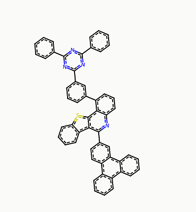 c1ccc(-c2nc(-c3ccccc3)nc(-c3cccc(-c4cccc5nc(-c6ccc7c8ccccc8c8ccccc8c7c6)c6c7ccccc7sc6c45)c3)n2)cc1